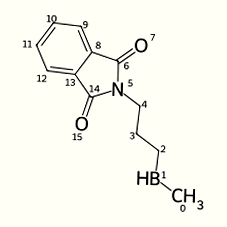 CBCCCN1C(=O)c2ccccc2C1=O